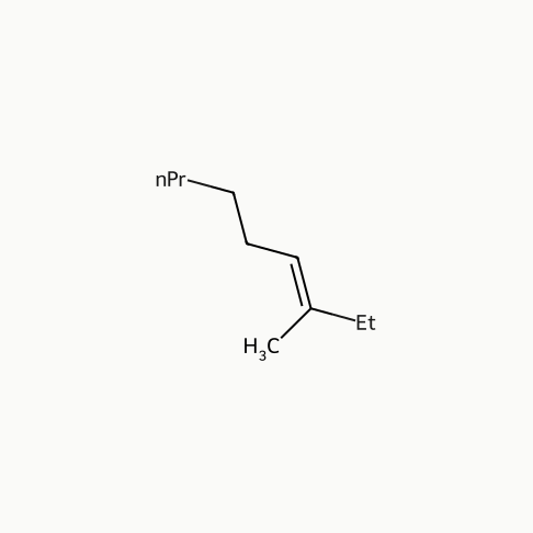 [CH2]CCCC/C=C(\C)CC